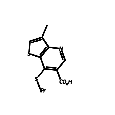 Cc1csc2c(SC(C)C)c(C(=O)O)cnc12